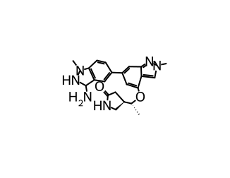 C[C@@H](Oc1cc(-c2ccc3c(c2)C(N)NN3C)cc2nn(C)cc12)[C@H]1CNC(=O)C1